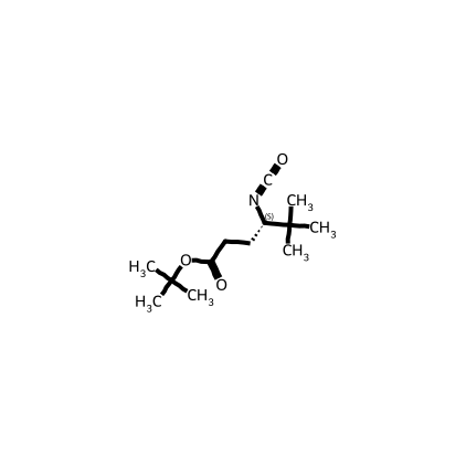 CC(C)(C)OC(=O)CC[C@H](N=C=O)C(C)(C)C